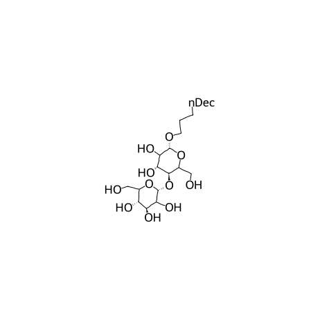 CCCCCCCCCCCCCO[C@@H]1OC(CO)[C@@H](O[C@H]2OC(CO)[C@@H](O)[C@H](O)C2O)[C@H](O)C1O